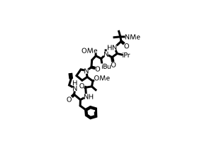 C#CCNC(=O)C(Cc1ccccc1)NC(=O)C(C)C(OC)C1CCCN1C(=O)CC(OC)C(C(C)CC)N(C)C(=O)C(NC(=O)C(C)(C)NC)C(C)C